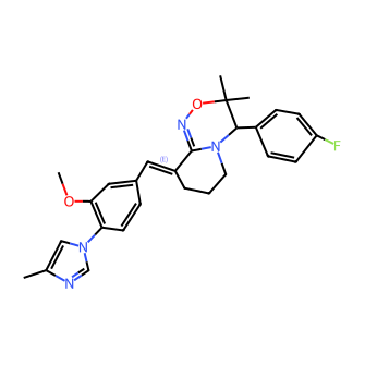 COc1cc(/C=C2\CCCN3C2=NOC(C)(C)C3c2ccc(F)cc2)ccc1-n1cnc(C)c1